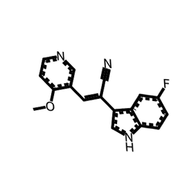 COc1ccncc1/C=C(\C#N)c1c[nH]c2ccc(F)cc12